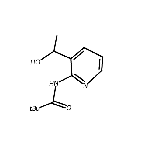 CC(O)c1cccnc1NC(=O)C(C)(C)C